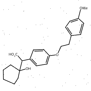 COc1ccc(CCOc2ccc(C(C(=O)O)C3(O)CCCCC3)cc2)cc1